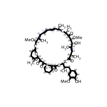 COc1cc(C[C@@H](C)[C@@H]2CC(=O)[C@H](C)/C=C(\C)[C@@H](O)[C@@H](OC)C(=O)[C@H](C)C[C@H](C)/C=C/C=C/C=C(\C)[C@@H](OC)C[C@@H]3CC[C@@H](C)[C@@](O)(O3)C(=O)C(=O)N3CCCC[C@H]3C(=O)O2)ccc1O